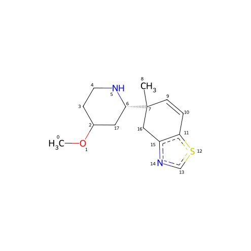 COC1CCN[C@H](C2(C)C=Cc3scnc3C2)C1